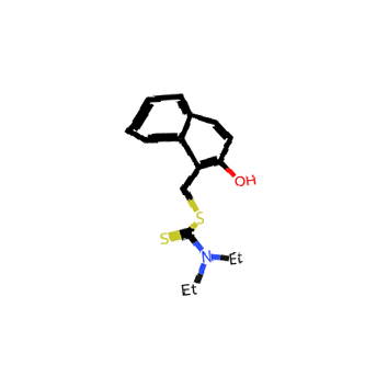 CCN(CC)C(=S)SCc1c(O)ccc2ccccc12